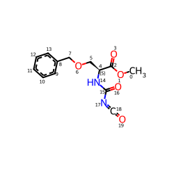 COC(=O)[C@H](COCc1ccccc1)NC(=O)N=C=O